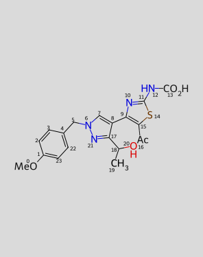 COc1ccc(Cn2cc(-c3nc(NC(=O)O)sc3C(C)=O)c(C(C)O)n2)cc1